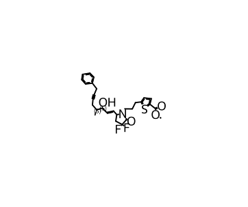 COC(=O)c1ccc(CCCN2C(=O)C(F)(F)CC2C=C[C@@H](O)[C@@H](C)CC#CCc2ccccc2)s1